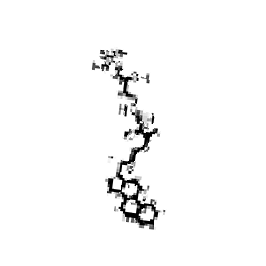 CC(CCC[C@@H](C)[C@H]1CCC2C3CC=C4CCCC[C@]4(C)C3CC[C@@]21C)C(=O)NNOCC(O)COP(O)(O)=S